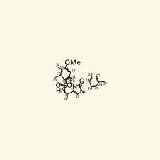 CCn1c(C(C)NS(=O)(=O)c2c(C)cc(OC)c(C)c2C)cnc1Oc1ccc(C)cc1